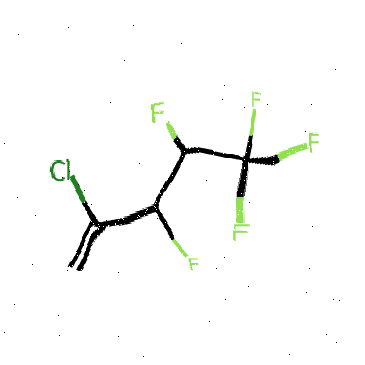 C=C(Cl)C(F)C(F)C(F)(F)F